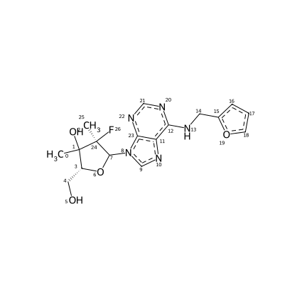 CC1(O)[C@@H](CO)OC(n2cnc3c(NCc4ccco4)ncnc32)[C@]1(C)F